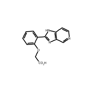 O=C(O)COc1ccccc1-c1nc2cnccc2[nH]1